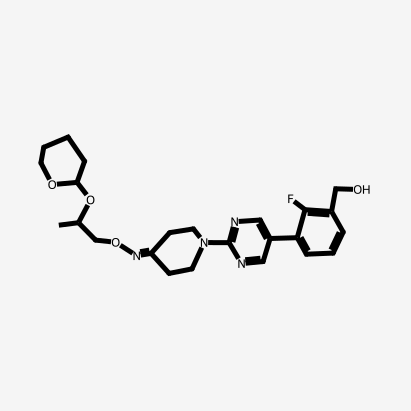 CC(CON=C1CCN(c2ncc(-c3cccc(CO)c3F)cn2)CC1)OC1CCCCO1